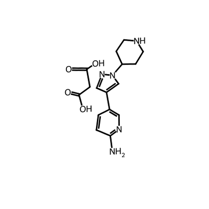 Nc1ccc(-c2cnn(C3CCNCC3)c2)cn1.O=C(O)CC(=O)O